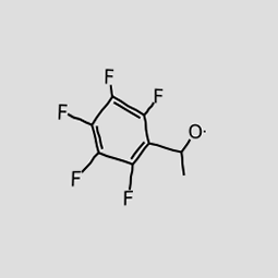 CC([O])c1c(F)c(F)c(F)c(F)c1F